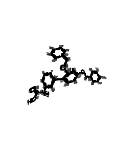 O=C(O)Nc1cccc(-c2ccc(OCc3ccccc3)nc2OCc2ccccc2)c1